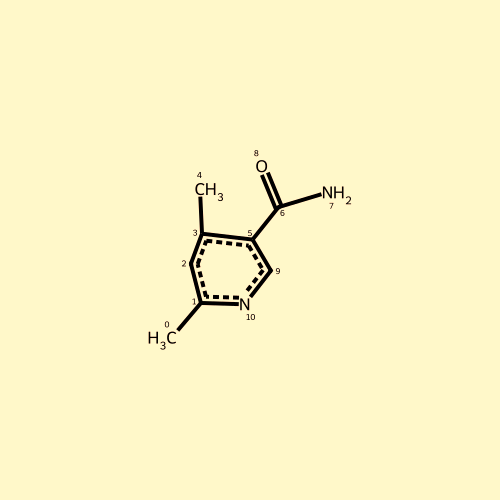 Cc1cc(C)c(C(N)=O)cn1